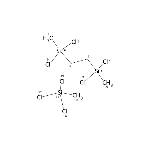 C[Si](Cl)(Cl)CC[Si](C)(Cl)Cl.C[Si](Cl)(Cl)Cl